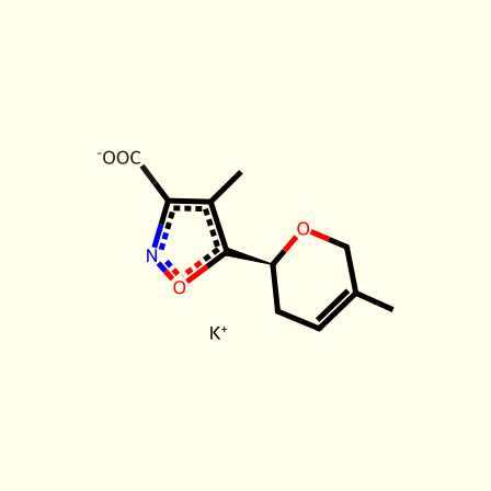 CC1=CC[C@@H](c2onc(C(=O)[O-])c2C)OC1.[K+]